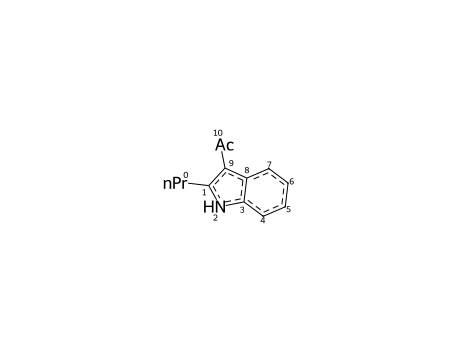 CCCc1[nH]c2ccccc2c1C(C)=O